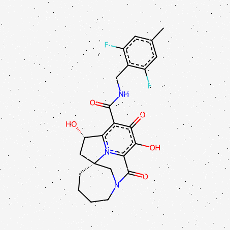 Cc1cc(F)c(CNC(=O)c2c3n4c(c(O)c2=O)C(=O)N2CCCC[C@@]4(C[C@@H]3O)C2)c(F)c1